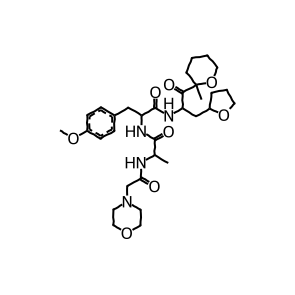 COc1ccc(CC(NC(=O)C(C)NC(=O)CN2CCOCC2)C(=O)NC(CC2CCCO2)C(=O)C2(C)CCCCO2)cc1